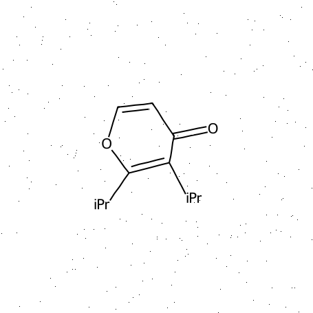 CC(C)c1occc(=O)c1C(C)C